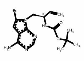 C=C[C@H](Cn1c(Br)cc2c(N)ncnc21)NC(=O)OC(C)(C)C